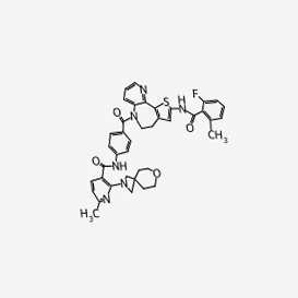 Cc1ccc(C(=O)Nc2ccc(C(=O)N3CCc4cc(NC(=O)c5c(C)cccc5F)sc4-c4ncccc43)cc2)c(N2CC3(CCOCC3)C2)n1